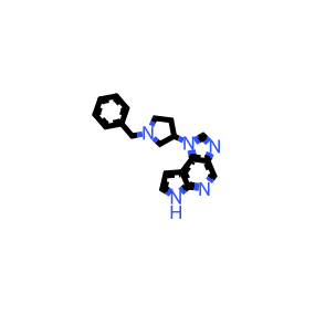 c1ccc(CN2CCC(n3cnc4cnc5[nH]ccc5c43)C2)cc1